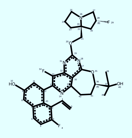 C=Cc1c(F)ccc2cc(O)cc(-c3nc4c5c(nc(OC[C@@]67CCCN6C[C@H](F)C7)nc5c3F)O[C@@H](C(C)(C)O)CC4)c12